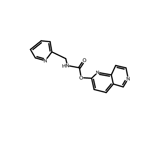 O=C(NCc1ccccn1)Oc1ccc2cnccc2n1